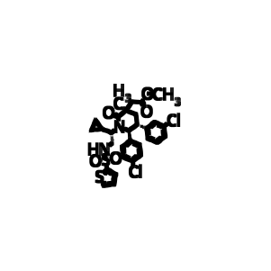 COC(=O)C[C@]1(C)C[C@H](c2cccc(Cl)c2)[C@@H](c2ccc(Cl)cc2)N([C@H](CNS(=O)(=O)c2cccs2)C2CC2)C1=O